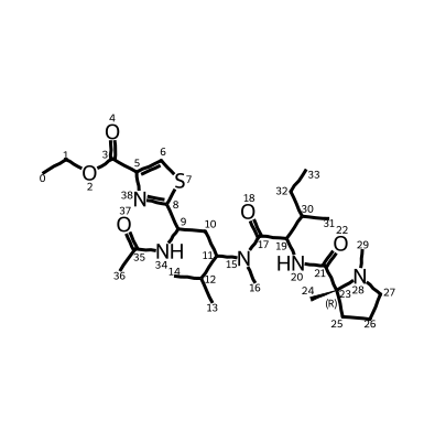 CCOC(=O)c1csc(C(CC(C(C)C)N(C)C(=O)C(NC(=O)[C@@]2(C)CCCN2C)C(C)CC)NC(C)=O)n1